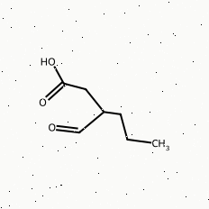 CCCC(C=O)CC(=O)O